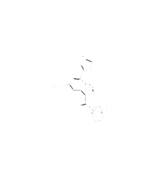 Cc1cc(-c2cnco2)n2ncc(C(=O)N3C[C@@H]4C[C@H]3CO4)c2c1